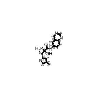 O=C(Nc1ccc2ncncc2c1)C(O)(P)Cn1cc(F)cn1